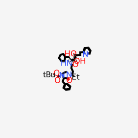 CCC(CCC(=O)N[C@@H](CC1CCCCC1)[C@@H](O)[C@@H](O)CCc1ccccn1)N1CCN(C(=O)OC(C)(C)C)C(Cc2ccccc2)C1=O